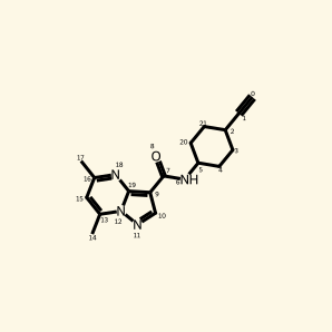 C#CC1CCC(NC(=O)c2cnn3c(C)cc(C)nc23)CC1